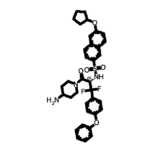 NC1CCN(C(=O)[C@H](NS(=O)(=O)c2ccc3cc(OC4CCCC4)ccc3c2)C(F)(F)c2ccc(Oc3ccccc3)cc2)CC1